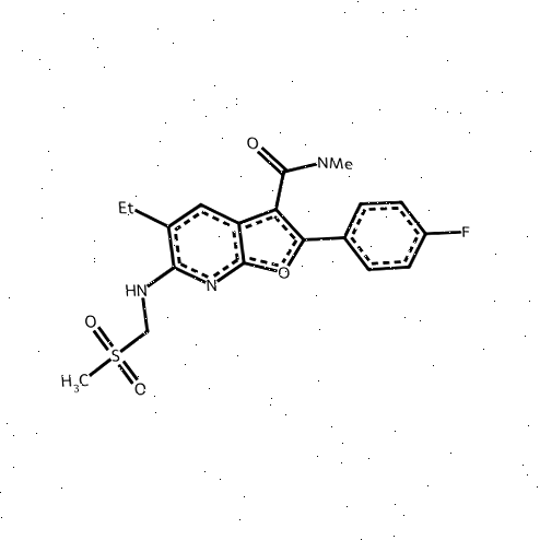 CCc1cc2c(C(=O)NC)c(-c3ccc(F)cc3)oc2nc1NCS(C)(=O)=O